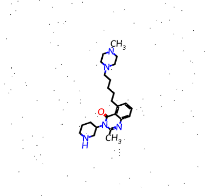 Cc1nc2cccc(CCCCCN3CCN(C)CC3)c2c(=O)n1C1CCCNC1